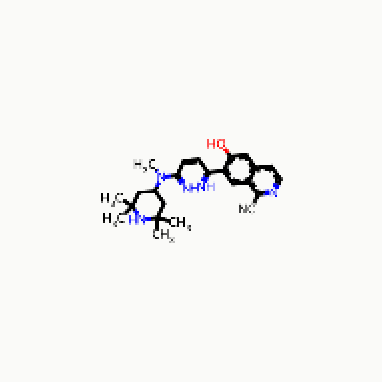 CN(C(=N)/C=C\C(=N)c1cc2c(C#N)nccc2cc1O)C1CC(C)(C)NC(C)(C)C1